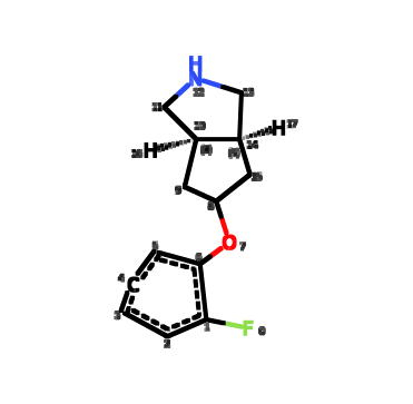 Fc1ccccc1OC1C[C@H]2CNC[C@H]2C1